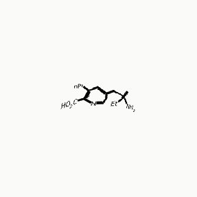 CCCc1cc(CC(C)(N)CC)cnc1C(=O)O